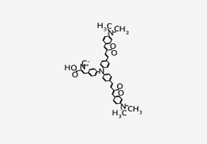 [C-]#[N+]/C(=C\c1ccc(N(c2ccc(/C=C/c3cc4ccc(N(CC)CC)cc4oc3=O)cc2)c2ccc(/C=C/c3cc4ccc(N(CC)CC)cc4oc3=O)cc2)cc1)C(=O)O